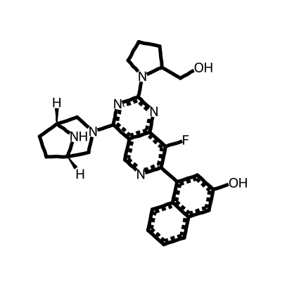 OCC1CCCN1c1nc(N2C[C@H]3CC[C@@H](C2)N3)c2cnc(-c3cc(O)cc4ccccc34)c(F)c2n1